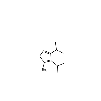 CC(C)C1=CCC([SiH3])=C1C(C)C